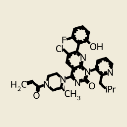 C=CC(=O)N1CCN(c2nc(=O)n(-c3cccnc3CC(C)C)c3nc(-c4c(O)cccc4F)c(Cl)cc23)[C@@H](C)C1